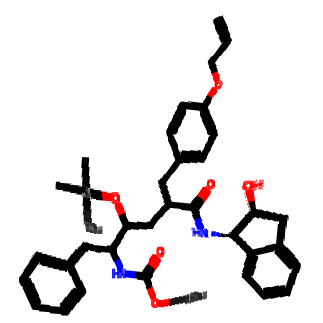 C=CCOc1ccc(CC(CC(O[Si](C)(C)C(C)(C)C)C(Cc2ccccc2)NC(=O)OC(C)(C)C)C(=O)N[C@H]2c3ccccc3C[C@@H]2O)cc1